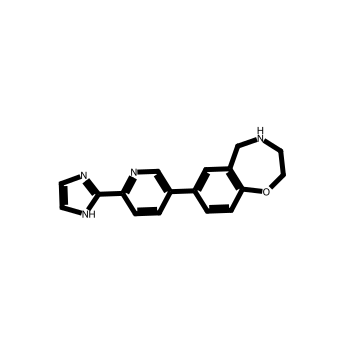 c1c[nH]c(-c2ccc(-c3ccc4c(c3)CNCCO4)cn2)n1